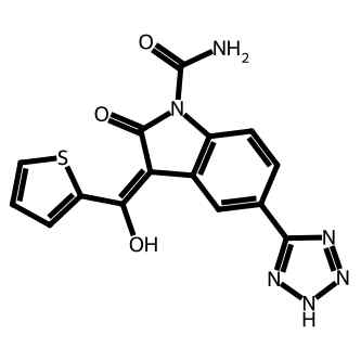 NC(=O)N1C(=O)C(=C(O)c2cccs2)c2cc(-c3nn[nH]n3)ccc21